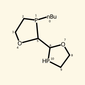 CCCCP1CCOC1C1OCCP1